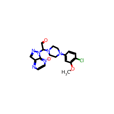 COc1cc(N2CCN(C(C=O)n3ncc4ncc[n+]([O-])c43)CC2)ccc1Cl